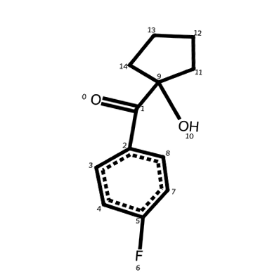 O=C(c1ccc(F)cc1)C1(O)CCCC1